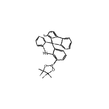 [2H]c1cccc2c1C1(c3ccccc3Nc3c(B4OC(C)(C)C(C)(C)O4)cccc31)c1ccccc1-2